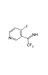 N=C(c1cnccc1I)C(F)(F)F